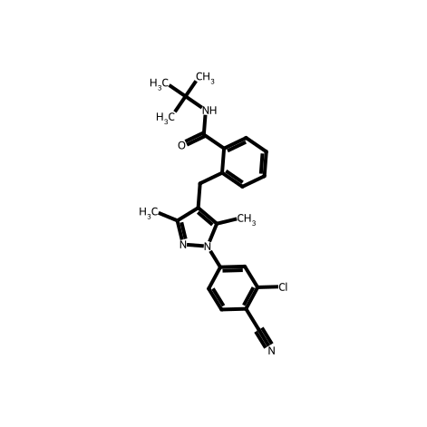 Cc1nn(-c2ccc(C#N)c(Cl)c2)c(C)c1Cc1ccccc1C(=O)NC(C)(C)C